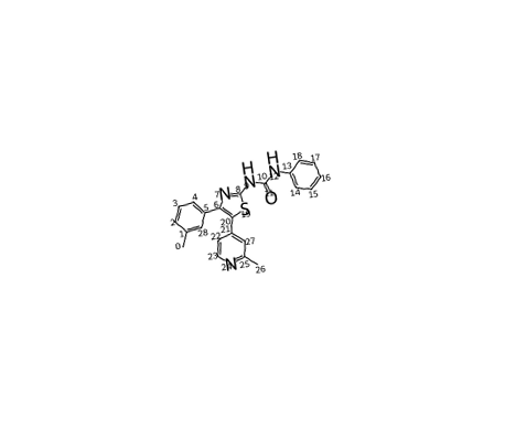 Cc1cccc(-c2nc(NC(=O)Nc3ccccc3)sc2-c2ccnc(C)c2)c1